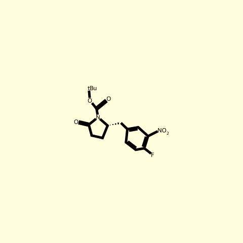 CC(C)(C)OC(=O)N1C(=O)CC[C@H]1Cc1ccc(F)c([N+](=O)[O-])c1